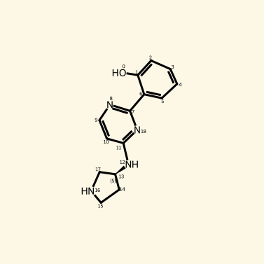 Oc1ccccc1-c1nccc(N[C@H]2CCNC2)n1